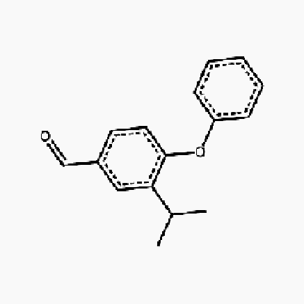 CC(C)c1cc(C=O)ccc1Oc1ccccc1